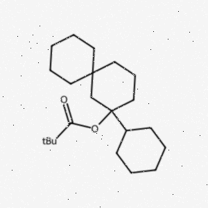 CC(C)(C)C(=O)OC1(C2CCCCC2)CCCC2(CCCCC2)C1